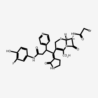 O=C(CC(C(=C1CCNC1=O)C1=C(C(=O)O)N2C(=O)[C@@H](NC(=O)CBr)[C@H]2SC1)c1ccncc1)Nc1ccc(O)c(F)c1